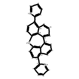 c1ccc(-c2ccc3oc4ccc(-c5ccccn5)c5cccc(c6cccc2c36)c45)nc1